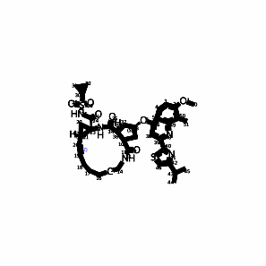 COc1ccc2c(O[C@H]3CC4C(=O)NCCCCC/C=C\[C@@H]5C[C@]5(C(=O)NS(=O)(=O)C5CC5)NC(=O)[C@@H]4C3)cc(-c3nc(C(C)C)cs3)nc2c1C